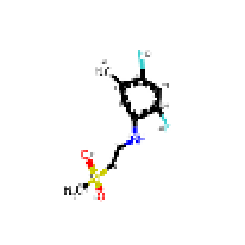 CS(=O)(=O)CCNc1cc(C#N)c(F)cc1F